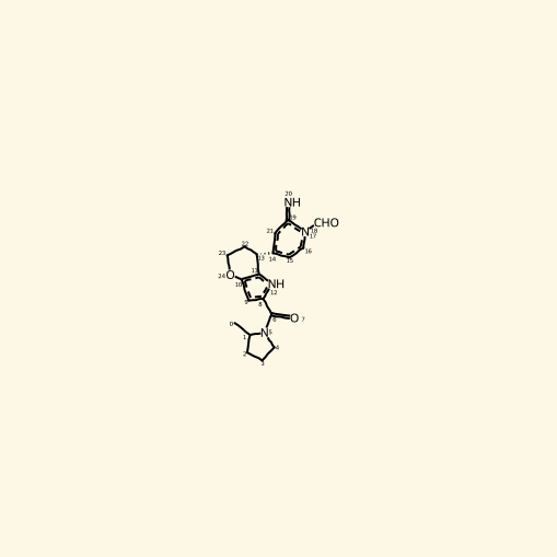 CC1CCCN1C(=O)c1cc2c([nH]1)[C@@H](c1ccn(C=O)c(=N)c1)CCO2